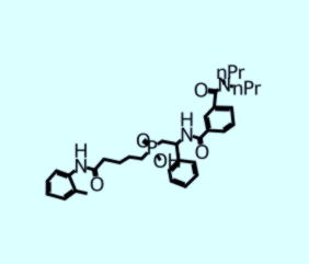 CCCN(CCC)C(=O)c1cccc(C(=O)NC(CP(=O)(O)CCCCC(=O)Nc2ccccc2C)c2ccccc2)c1